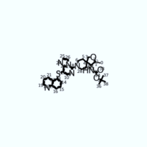 C[C@@H]1OCC2(CCN(c3ncc(Sc4cccc5ncccc45)c4nccn34)CC2)[C@@H]1NC(=O)OC(C)(C)C